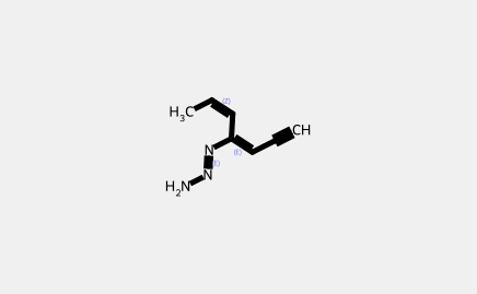 C#C/C=C(\C=C/C)/N=N/N